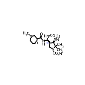 CCOC(=O)N/C(NC(=O)C1CN(C)CCO1)=C1/CN(C(=O)O)C(C)(C)C1=N